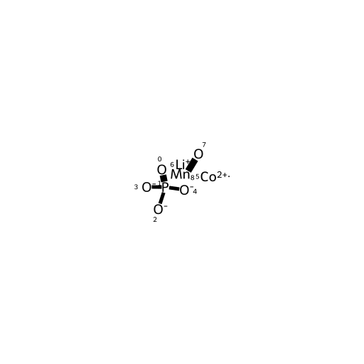 O=P([O-])([O-])[O-].[Co+2].[Li+].[O]=[Mn]